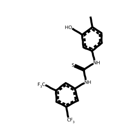 Cc1ccc(NC(=S)Nc2cc(C(F)(F)F)cc(C(F)(F)F)c2)cc1O